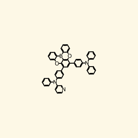 c1ccc(N(c2ccccc2)c2ccc(-c3cc(-c4ccc(N(c5ccccc5)c5cccnc5)cc4)c4c5c3Oc3ccccc3B5c3ccccc3O4)cc2)cc1